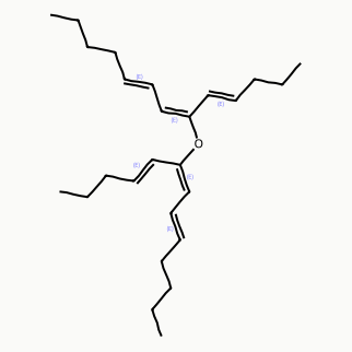 CCC/C=C/C(=C\C=C\CCCC)OC(/C=C/CCC)=C/C=C/CCCC